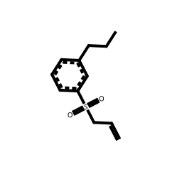 C=CCS(=O)(=O)c1cccc(CCC)c1